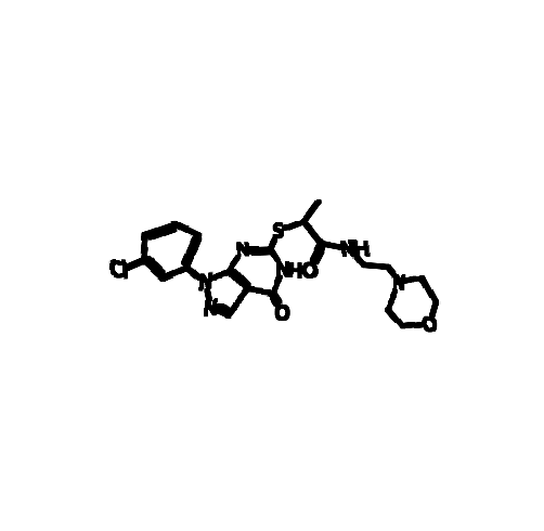 CC(Sc1nc2c(cnn2-c2cccc(Cl)c2)c(=O)[nH]1)C(=O)NCCN1CCOCC1